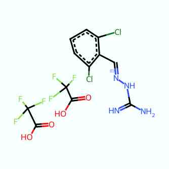 N=C(N)N/N=C/c1c(Cl)cccc1Cl.O=C(O)C(F)(F)F.O=C(O)C(F)(F)F